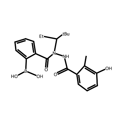 CCC(N(NC(=O)c1cccc(O)c1C)C(=O)c1ccccc1B(O)O)C(C)(C)C